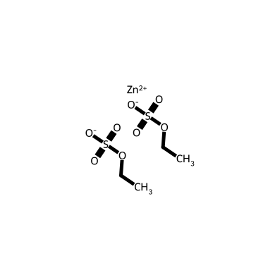 CCOS(=O)(=O)[O-].CCOS(=O)(=O)[O-].[Zn+2]